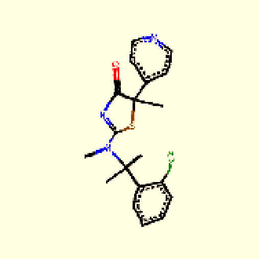 CN(C1=NC(=O)C(C)(c2ccncc2)S1)C(C)(C)c1ccccc1Cl